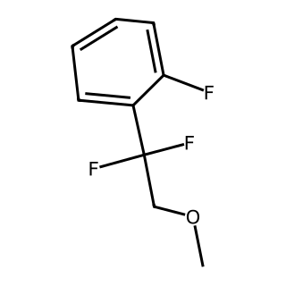 COCC(F)(F)c1ccccc1F